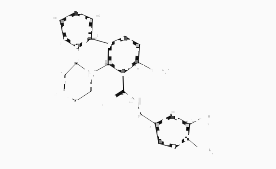 COc1ccc(CNC(=O)c2c(OC)ccc(-c3ccccc3)c2N2CCOCC2)cc1O